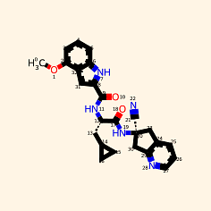 COc1cccc2[nH]c(C(=O)N[C@@H](CC3CC3)C(=O)N[C@@]3(C#N)Cc4cccnc4C3)cc12